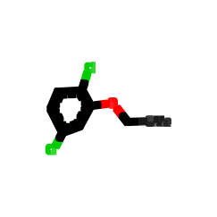 COCOc1cc(Cl)ccc1Cl